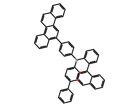 c1ccc(-c2ccc(N(c3ccc(-c4cc5c6ccccc6ccc5c5ccccc45)cc3)c3ccccc3-c3cccc4ccccc34)cc2)cc1